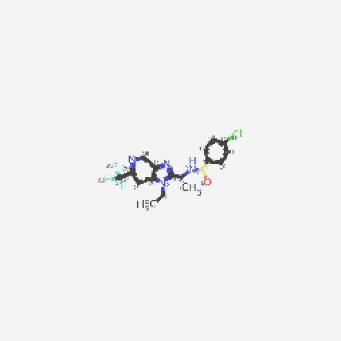 CCn1c([C@@H](C)N[S+]([O-])c2ccc(Cl)cc2)nc2cnc(C(F)(F)F)cc21